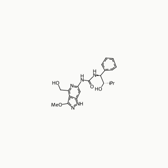 COc1n[nH]c2cc(NC(=O)N[C@@H](c3ccccc3)[C@@H](O)C(C)C)nc(CO)c12